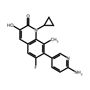 Cc1c(-c2ccc(N)nc2)c(F)cc2cc(O)c(=O)n(C3CC3)c12